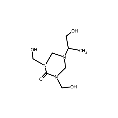 CC(CO)N1CN(CO)C(=O)N(CO)C1